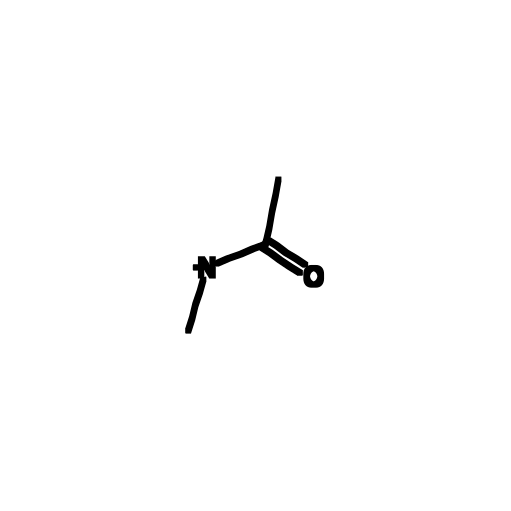 C[N]C(C)=O